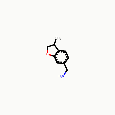 CC1COc2cc(CN)ccc21